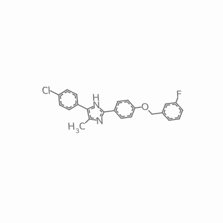 Cc1nc(-c2ccc(OCc3cccc(F)c3)cc2)[nH]c1-c1ccc(Cl)cc1